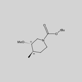 CO[C@@H]1CN(C(=O)OC(C)(C)C)CC[C@H]1C